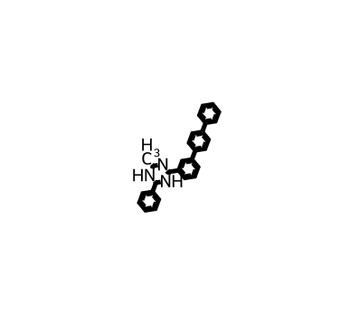 CC1N=C(c2cccc(-c3ccc(-c4ccccc4)cc3)c2)NC(c2ccccc2)N1